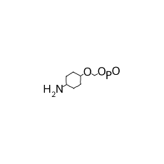 NC1CCC(OCOP=O)CC1